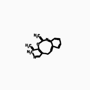 C=C/C1=C(\C=N/C)C/C=c2/cccc/c2=N/C(=C)O1